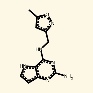 Cc1cc(CNc2nc(N)nc3cc[nH]c23)no1